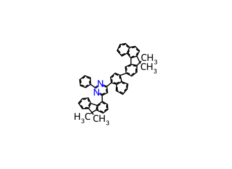 CC1(C)c2ccccc2-c2c(-c3cc(-c4ccc(-c5ccc6c(c5)-c5c(ccc7ccccc57)C6(C)C)c5ccccc45)nc(-c4ccccc4)n3)cccc21